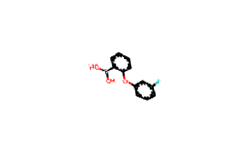 OB(O)c1ccccc1Oc1cccc(F)c1